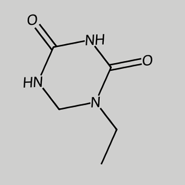 CCN1CNC(=O)NC1=O